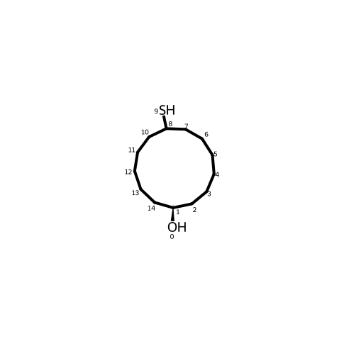 O[C@@H]1CCCCCCC(S)CCCCC1